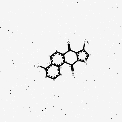 Cc1coc2c1C(=O)c1ccc3c(C)cccc3c1C2=O